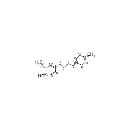 C=Cc1nc(CCCCN2CCN(C)CC2)ccc1O